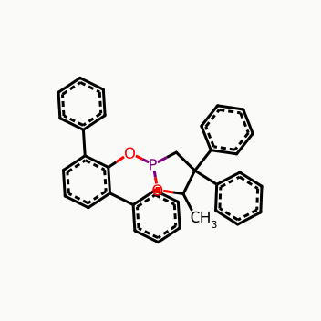 CC1OP(Oc2c(-c3ccccc3)cccc2-c2ccccc2)CC1(c1ccccc1)c1ccccc1